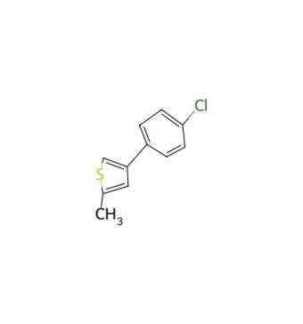 Cc1cc(-c2ccc(Cl)cc2)cs1